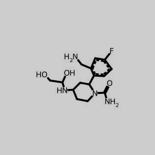 NCc1cc(F)ccc1C1CC(NC(O)CO)CCN1C(N)=O